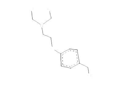 CCc1ccc(OCCN(CC)CC)cc1